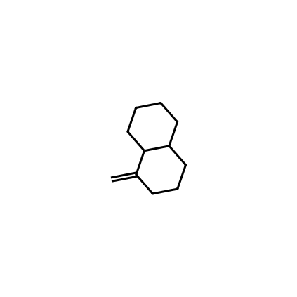 C=C1CCCC2CCCCC12